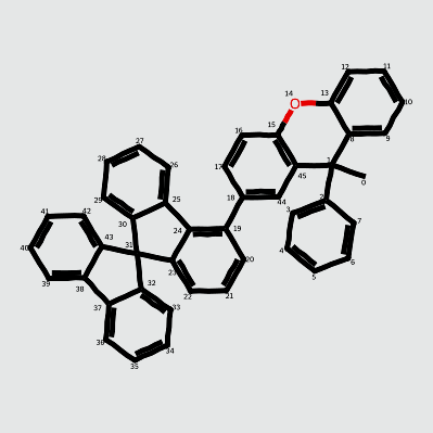 CC1(c2ccccc2)c2ccccc2Oc2ccc(-c3cccc4c3-c3ccccc3C43c4ccccc4-c4ccccc43)cc21